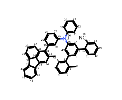 Cc1ccccc1-c1cc(-c2ccccc2C#N)cc(N(c2ccccc2)c2cccc(-c3c(C)cc4c5c(cccc35)-c3ccccc3-4)c2)c1